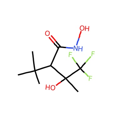 CC(C)(C)C(C(=O)NO)C(C)(O)C(F)(F)F